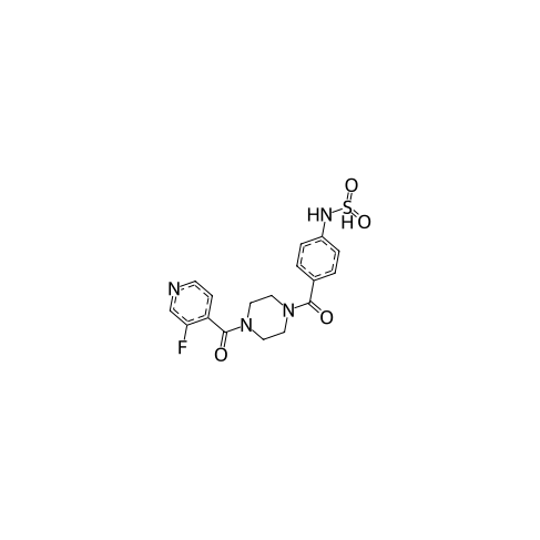 O=C(c1ccc(N[SH](=O)=O)cc1)N1CCN(C(=O)c2ccncc2F)CC1